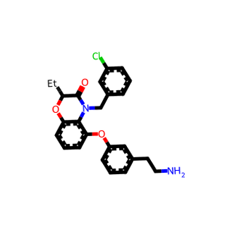 CCC1Oc2cccc(Oc3cccc(CCN)c3)c2N(Cc2cccc(Cl)c2)C1=O